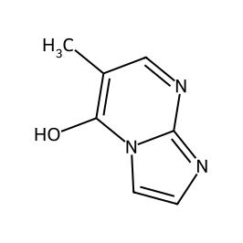 Cc1cnc2nccn2c1O